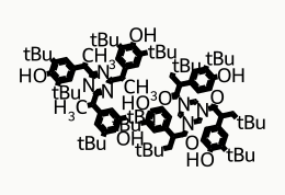 CC(C)(C)CC(C(=O)N1CN(C(=O)C(CC(C)(C)C)c2ccc(O)c(C(C)(C)C)c2)CN(C(=O)C(CC(C)(C)C)c2ccc(O)c(C(C)(C)C)c2)C1)c1ccc(O)c(C(C)(C)C)c1.CC(c1cc(C(C)(C)C)c(O)c(C(C)(C)C)c1)c1nc(C(C)c2cc(C(C)(C)C)c(O)c(C(C)(C)C)c2)nc(C(C)c2cc(C(C)(C)C)c(O)c(C(C)(C)C)c2)n1